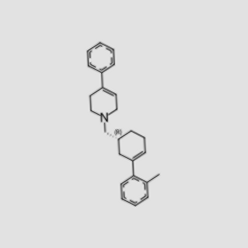 Cc1ccccc1C1=CCC[C@@H](CN2CC=C(c3ccccc3)CC2)C1